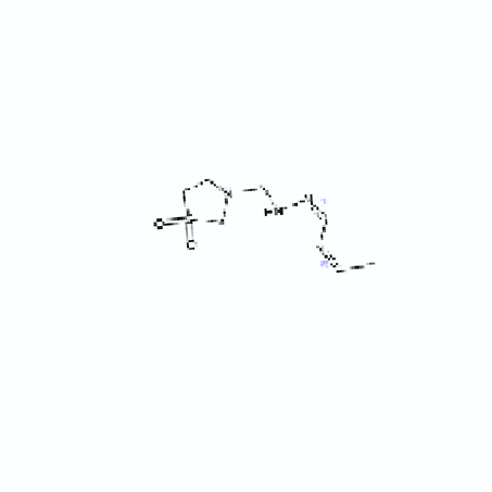 C/C=N\C=N/NCN1CCS(=O)(=O)C1